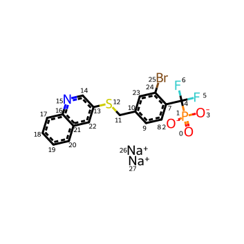 O=P([O-])([O-])C(F)(F)c1ccc(CSc2cnc3ccccc3c2)cc1Br.[Na+].[Na+]